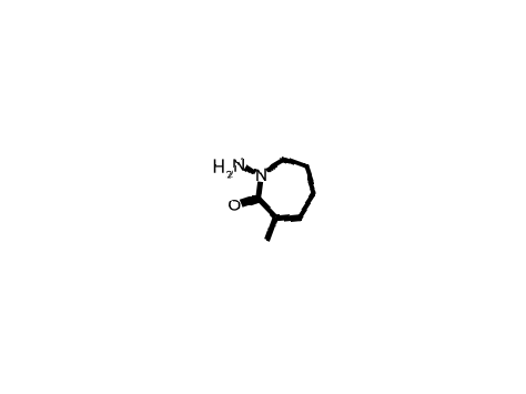 CC1CCCCN(N)C1=O